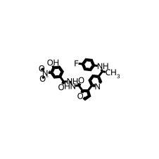 CC(Nc1ccc(F)cc1)c1ccc(-c2ccoc2C(=O)NNC(=O)c2ccc(O)c([N+](=O)[O-])c2)nc1